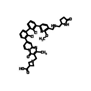 COc1nc(-c2cccc(-c3cccc(-c4ccn5c(=O)c(CN6CC(C(=O)O)C6)c(C)nc5c4)c3Cl)c2Cl)ccc1CNCC1CCC(=O)N1